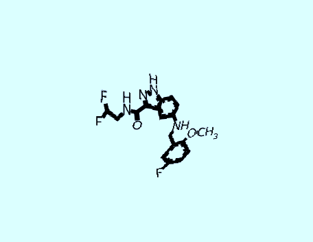 COc1ccc(F)cc1CNc1ccc2[nH]nc(C(=O)NCC(F)F)c2c1